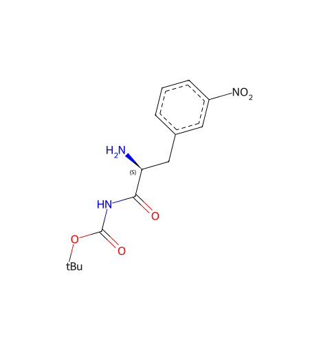 CC(C)(C)OC(=O)NC(=O)[C@@H](N)Cc1cccc([N+](=O)[O-])c1